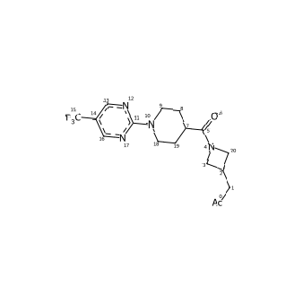 CC(=O)CC1CN(C(=O)C2CCN(c3ncc(C(F)(F)F)cn3)CC2)C1